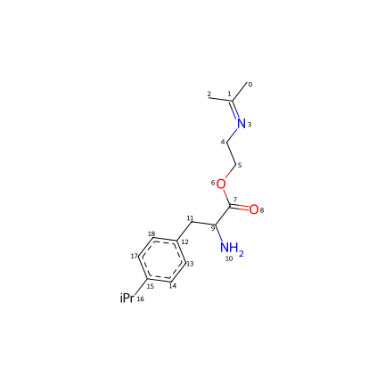 CC(C)=NCCOC(=O)C(N)Cc1ccc(C(C)C)cc1